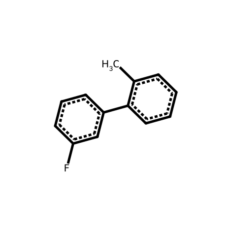 Cc1ccccc1-c1cccc(F)c1